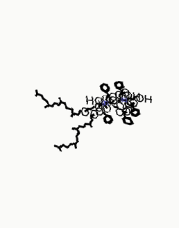 CC(C)CCCC(C)CCCC(C)CCCC(C)CCOCC(CO[C@H](O)/C(OC(=O)c1ccccc1)=C(\OC(=O)c1ccccc1)[C@@H](CCOC(=O)c1ccccc1)O[C@H](O)/C(OC(=O)c1ccccc1)=C(\OC(=O)c1ccccc1)[C@@H](O)CCO)OCCC(C)CCCC(C)CCCC(C)CCCC(C)C